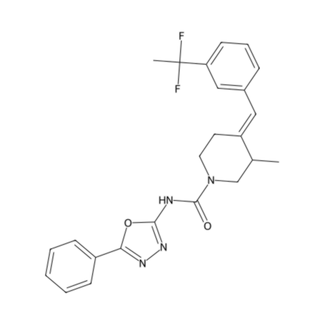 CC1CN(C(=O)Nc2nnc(-c3ccccc3)o2)CC/C1=C\c1cccc(C(C)(F)F)c1